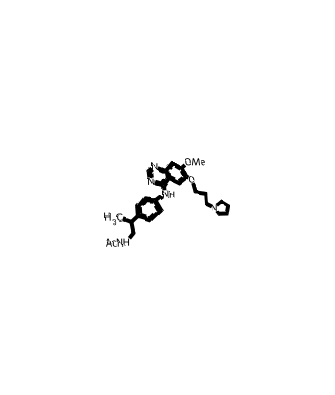 COc1cc2ncnc(Nc3ccc(C(C)CNC(C)=O)cc3)c2cc1OCCCN1CCCC1